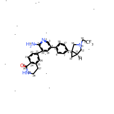 Nc1ncc(-c2ccc([C@@]34C[C@@H]3CN(CC(F)(F)F)C4)cc2)cc1-c1ccc2c(c1)CCNC2=O